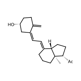 C=C1CC[C@@H](O)C/C1=C/C=C1\CCC[C@]2(C)[C@@H](C(C)=O)CC[C@@H]12